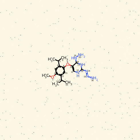 COc1cc(C(C)C)c(OC2=CNC(N=NN)NC2NN)cc1C(C)C